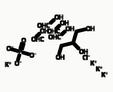 O=CO.O=CO.O=CO.O=CO.O=P([O-])([O-])[O-].OCC(O)CO.[Cl-].[K+].[K+].[K+].[K+]